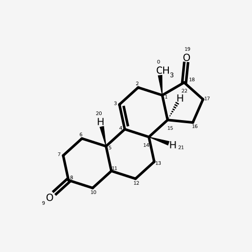 C[C@]12CC=C3[C@H]4CCC(=O)CC4CC[C@H]3[C@@H]1CCC2=O